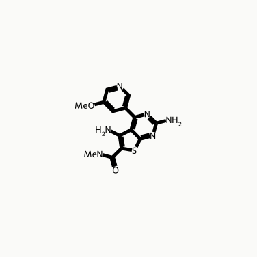 CNC(=O)c1sc2nc(N)nc(-c3cncc(OC)c3)c2c1N